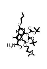 CCCCOc1nc(N(C(=O)OC(C)(C)C)C(=O)OC(C)(C)C)c2c(n1)c(I)c(C(N)=O)n2COCC[Si](C)(C)C